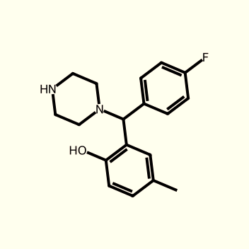 Cc1ccc(O)c(C(c2ccc(F)cc2)N2CCNCC2)c1